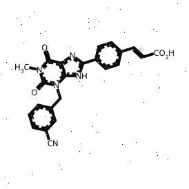 Cn1c(=O)c2nc(-c3ccc(/C=C/C(=O)O)cc3)[nH]c2n(Cc2cccc(C#N)c2)c1=O